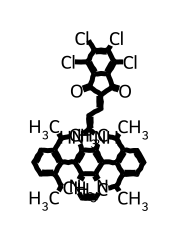 CC(C)c1cccc(C(C)C)c1-c1c2c(c(-c3c(C(C)C)cccc3C(C)C)c3nccnc13)NC(=CC=C1C(=O)c3c(Cl)c(Cl)c(Cl)c(Cl)c3C1=O)N2